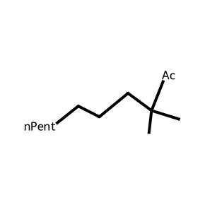 CCCCCCCCC(C)(C)C(C)=O